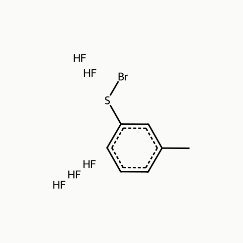 Cc1cccc(SBr)c1.F.F.F.F.F